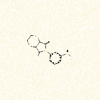 O=C1C2SCCSC2C(O)N1c1cccc([N+](=O)[O-])c1